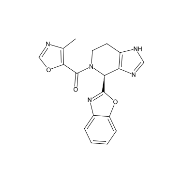 Cc1ncoc1C(=O)N1CCc2[nH]cnc2[C@H]1c1nc2ccccc2o1